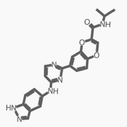 CC(C)NC(=O)C1=COc2ccc(-c3nccc(Nc4ccc5[nH]ncc5c4)n3)cc2O1